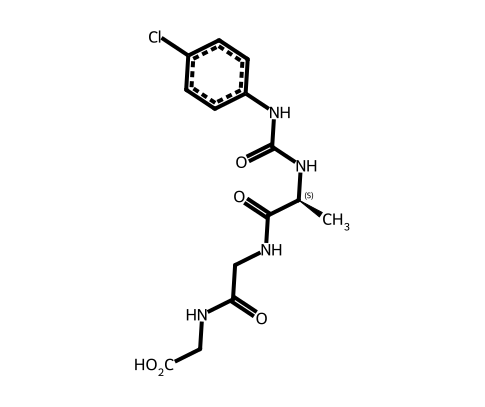 C[C@H](NC(=O)Nc1ccc(Cl)cc1)C(=O)NCC(=O)NCC(=O)O